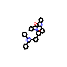 c1ccc(-c2cc(-c3cccc(-c4cccc(-n5c6ccccc6c6oc7c8ccccc8nc(-c8ccccc8)c7c65)c4)c3)nc(-c3ccccc3)n2)cc1